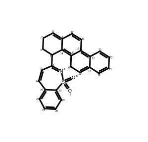 O=S1(=O)N=C(C2CCC=c3ccc4c(c32)CC=c2ccccc2=4)C=Cc2ccccc21